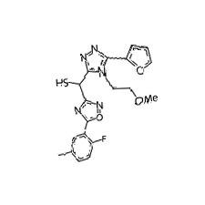 COCCn1c(-c2ccco2)nnc1C(S)c1noc(-c2cc(C)ccc2F)n1